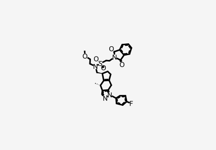 COCCN(C[C@H]1CCC2=C1[C@@H](C)c1cnn(-c3ccc(F)cc3)c1C2)S(=O)(=O)CCN1C(=O)c2ccccc2C1=O